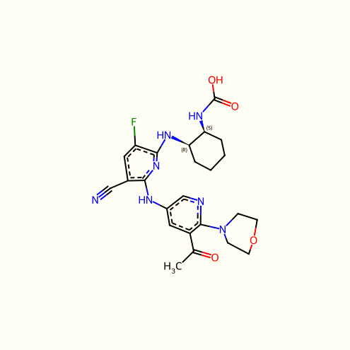 CC(=O)c1cc(Nc2nc(N[C@@H]3CCCC[C@@H]3NC(=O)O)c(F)cc2C#N)cnc1N1CCOCC1